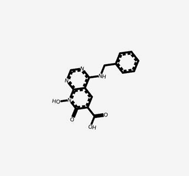 O=C(O)c1cc2c(NCc3ccccc3)ncnc2n(O)c1=O